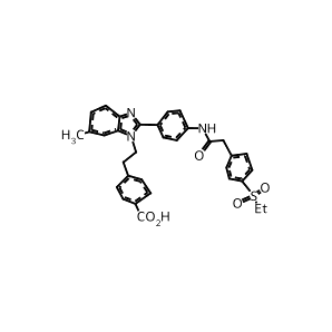 CCS(=O)(=O)c1ccc(CC(=O)Nc2ccc(-c3nc4ccc(C)cc4n3CCc3ccc(C(=O)O)cc3)cc2)cc1